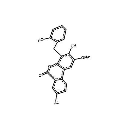 COc1cc2c(oc(=O)c3cc(C(C)=O)ccc32)c(Cc2ccccc2O)c1O